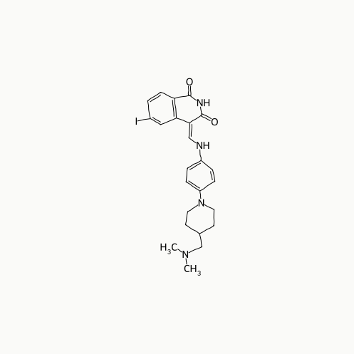 CN(C)CC1CCN(c2ccc(NC=C3C(=O)NC(=O)c4ccc(I)cc43)cc2)CC1